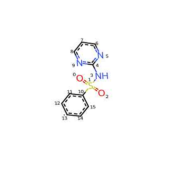 O=S(=O)(Nc1ncccn1)c1cc[c]cc1